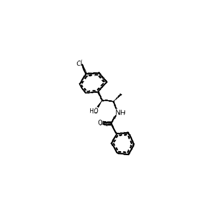 C[C@@H](NC(=O)c1ccccc1)[C@@H](O)c1ccc(Cl)cc1